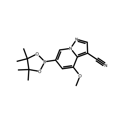 COc1cc(B2OC(C)(C)C(C)(C)O2)cn2ncc(C#N)c12